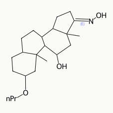 CCCOC1CCC2CCC3C4CC/C(=N\O)C4(C)CC(O)C3C2(C)C1